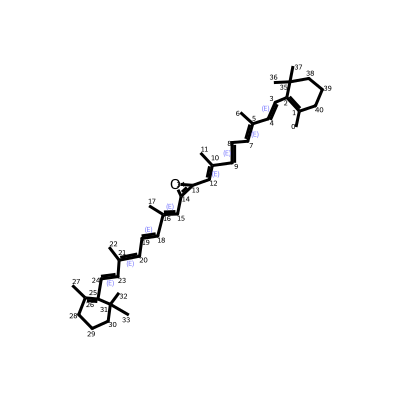 CC1=C(/C=C/C(C)=C/C=C/C(C)=C/C2=C(/C=C(C)/C=C/C=C(C)/C=C/C3=C(C)CCCC3(C)C)O2)C(C)(C)CCC1